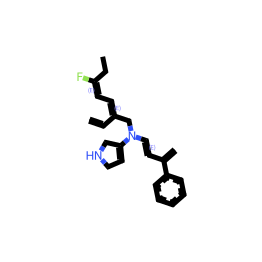 C=C/C(=C\C=C(\F)CC)CN(/C=C/C(=C)c1ccccc1)C1=CCNC1